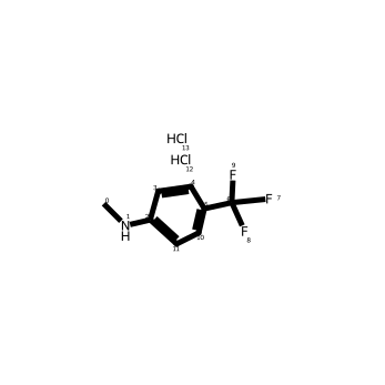 CNc1ccc(C(F)(F)F)cc1.Cl.Cl